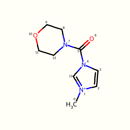 C[n+]1ccn(C(=O)N2CCOCC2)c1